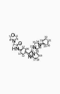 O=C(CN1CCOCC1)Nc1ccc(-c2nc3ccccn3c2CN2CCN(c3ccccc3)CC2)cc1